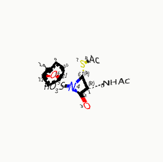 CC(=O)N[C@@H]1C(=O)N(S(=O)(=O)O)[C@@H]1SC(C)=O.c1cc2cc(c1)O2